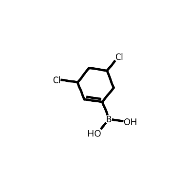 OB(O)C1=CC(Cl)CC(Cl)C1